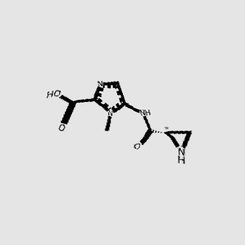 Cn1c(NC(=O)[C@@H]2CN2)cnc1C(=O)O